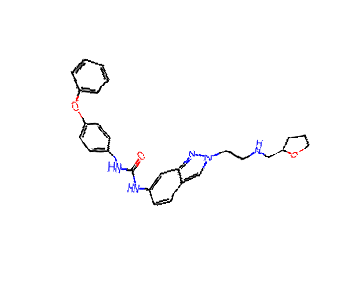 O=C(Nc1ccc(Oc2ccccc2)cc1)Nc1ccc2cn(CCNCC3CCCO3)nc2c1